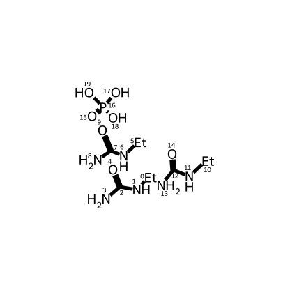 CCNC(N)=O.CCNC(N)=O.CCNC(N)=O.O=P(O)(O)O